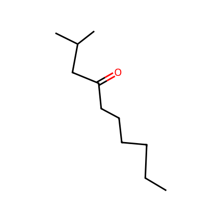 CCCCCCC(=O)CC(C)C